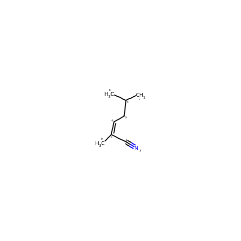 C/C(C#N)=C/CC(C)C